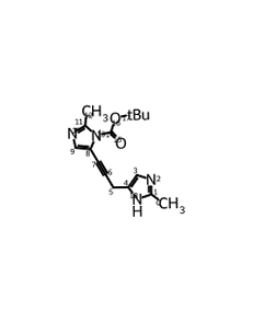 Cc1ncc(CC#Cc2cnc(C)n2C(=O)OC(C)(C)C)[nH]1